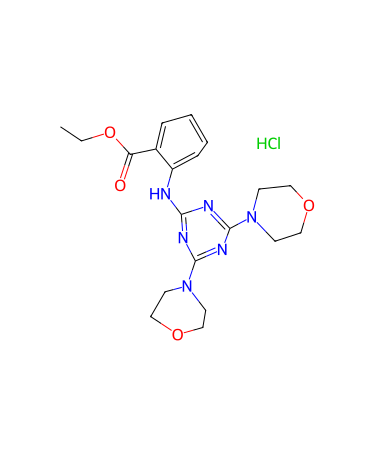 CCOC(=O)c1ccccc1Nc1nc(N2CCOCC2)nc(N2CCOCC2)n1.Cl